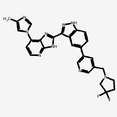 Cc1cn(-c2ccnc3[nH]c(-c4n[nH]c5ccc(-c6cncc(CN7CCC(F)(F)C7)c6)cc45)nc23)cn1